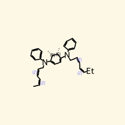 C/C=C\C=C/CN(C1=CC=C(N(C/C=C\C=C/CC)c2ccccc2)[C@@H](C)[C@H]1C)c1ccccc1